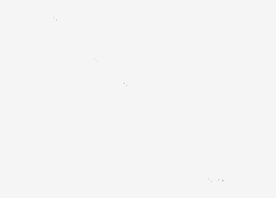 CNS(=O)(=O)c1ccc(C(=O)CN2CCN(c3ccncc3)CC2)cc1